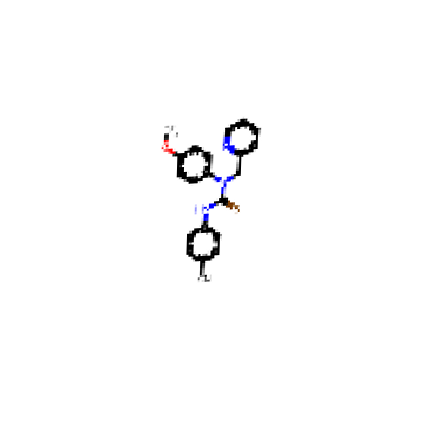 N#Cc1ccc(NC(=S)N(Cc2ccccn2)c2ccc(OC(F)(F)F)cc2)cc1